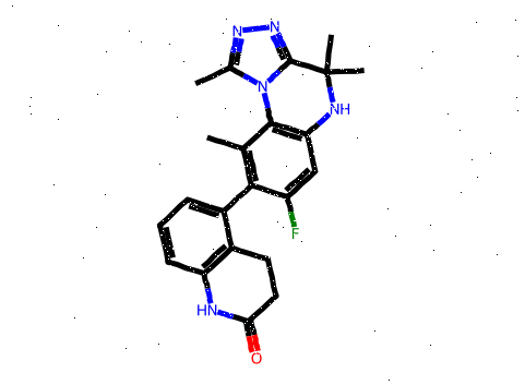 Cc1c(-c2cccc3c2CCC(=O)N3)c(F)cc2c1-n1c(C)nnc1C(C)(C)N2